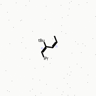 C/C=C\C(=C/C(C)C)C(C)(C)C